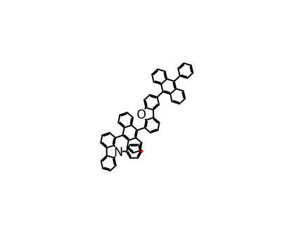 c1ccc(-c2c3ccccc3c(-c3ccc4oc5c(-c6c7ccccc7c(-c7cccc8c9ccccc9n(-c9ccccc9)c78)c7ccccc67)cccc5c4c3)c3ccccc23)cc1